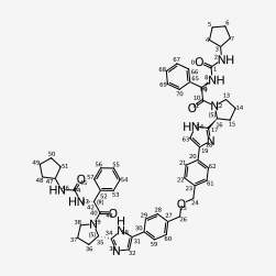 O=C(NC1CCCC1)N[C@@H](C(=O)N1CCC[C@H]1c1nc(-c2ccc(COCc3ccc(-c4cnc([C@@H]5CCCN5C(=O)[C@H](NC(=O)NC5CCCC5)c5ccccc5)[nH]4)cc3)cc2)c[nH]1)c1ccccc1